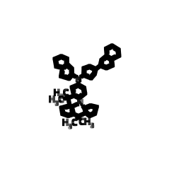 CC1(C)c2ccccc2N2c3ccc(N(c4ccc(-c5ccc6ccccc6c5)cc4)c4ccc5ccccc5c4)cc3C(C)(C)c3cccc1c32